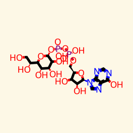 O=P(O)(OC[C@H]1O[C@@H](n2cnc3c(O)ncnc32)[C@@H](O)C1O)OP(=O)(O)O[C@@H]1OC([C@H](O)CO)[C@@H](O)[C@H](O)C1O